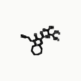 CC(C)[C@H](NC(=O)c1cc2c(n(CCC#N)c1=O)CCCCCC2)C(=O)O